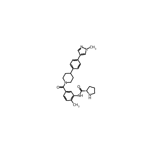 Cc1ccc(C(=O)N2CCC(c3ccc(-c4cnn(C)c4)cc3)CC2)cc1NC(=O)[C@H]1CCCN1